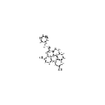 O=C(O)COc1ccc(Cl)cc1[C@@H]1c2ccccc2CCN1C(=O)OCc1cncnc1